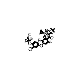 CC(C)(C)[Si](C)(C)N(C(=O)c1cc(F)c(Oc2ccc(OC(F)(F)CF)c(Cl)c2)cc1F)S(=N)(=O)C1CC1